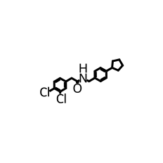 O=C(Cc1ccc(Cl)c(Cl)c1)NCc1ccc(C2CCCC2)cc1